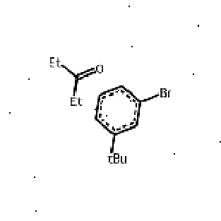 CC(C)(C)c1cccc(Br)c1.CCC(=O)CC